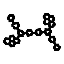 C1=CC2=CC=C3C=CC(c4nc(-c5ccc(-c6ccc(-c7cc(-c8ccc(-c9ccccn9)nc8)nc(-c8ccc9ccc%10cccc%11ccc8c9c%10%11)n7)cc6)cc5)cc(-c5ccc(-c6ccccn6)cc5)n4)=C4C=CC(=C1)C2C34